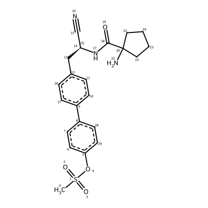 CS(=O)(=O)Oc1ccc(-c2ccc(C[C@@H](C#N)NC(=O)C3(N)CCCC3)cc2)cc1